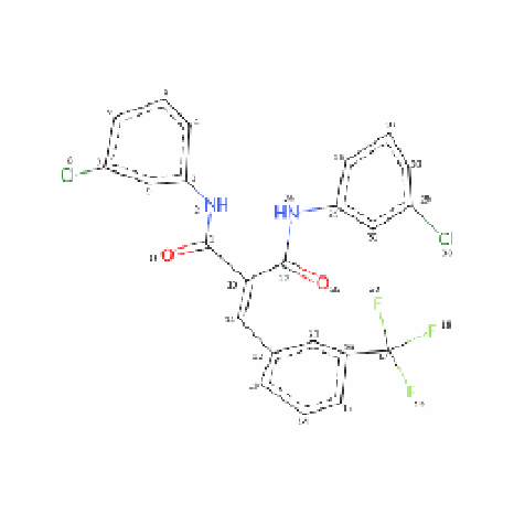 O=C(Nc1cccc(Cl)c1)C(=Cc1cccc(C(F)(F)F)c1)C(=O)Nc1cccc(Cl)c1